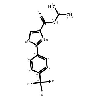 CC(C)NC(=O)c1coc(-c2ccc(C(F)(F)F)cc2)n1